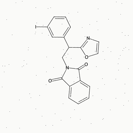 O=C1c2ccccc2C(=O)N1CC(c1cccc(I)c1)c1ncco1